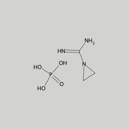 N=C(N)N1CC1.O=P(O)(O)O